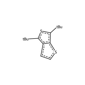 CC(C)(C)c1sc(C(C)(C)C)c2sccc12